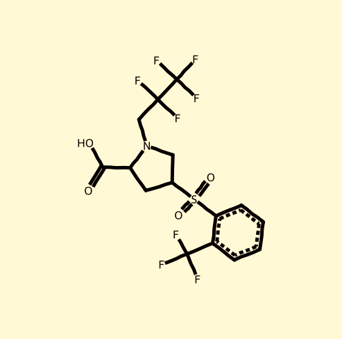 O=C(O)C1CC(S(=O)(=O)c2ccccc2C(F)(F)F)CN1CC(F)(F)C(F)(F)F